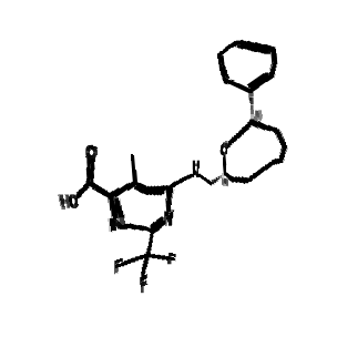 Cc1c(NC[C@H]2CCC[C@@H](c3ccccc3)O2)nc(C(F)(F)F)nc1C(=O)O